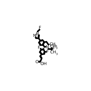 C[C@H]1Cc2cc(-c3cnn(CCF)c3)ccc2[C@H](c2c(F)cc(/C=C/C(=O)O)cc2F)N1CC(C)(C)F